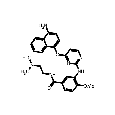 COc1ccc(C(=O)NCCN(C)C)cc1Nc1nccc(Oc2ccc(N)c3ccccc23)n1